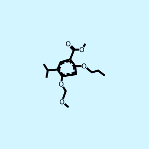 CCCOc1cc(OCOC)c(C(C)C)cc1C(=O)OC